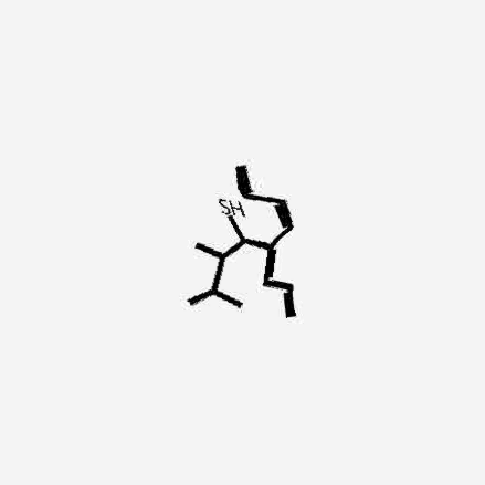 C=C/C=C\C(=C/C=C)C(S)C(C)C(C)C